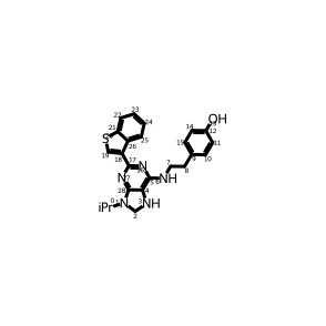 CC(C)N1CNc2c(NCCc3ccc(O)cc3)nc(-c3csc4ccccc34)nc21